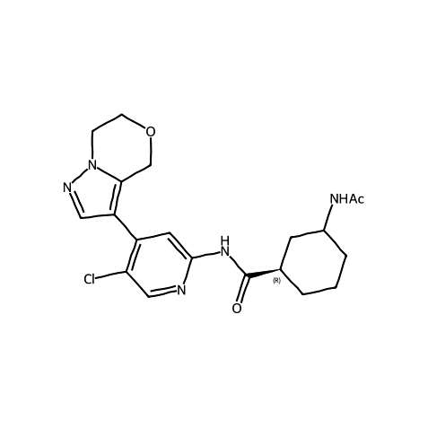 CC(=O)NC1CCC[C@@H](C(=O)Nc2cc(-c3cnn4c3COCC4)c(Cl)cn2)C1